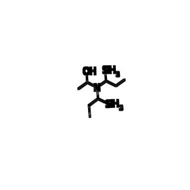 CCC([SiH3])N(C(C)O)C([SiH3])CC